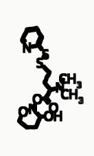 CN(C)C(CCSSc1ccccn1)C(=O)ON1OCCCC1O